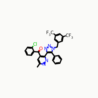 Cc1cc(C(=O)c2ccccc2Cl)c(-c2nnn(Cc3cc(C(F)(F)F)cc(C(F)(F)F)c3)c2-c2ccccc2)nn1